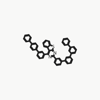 c1ccc(-c2ccc(-c3cccc(-c4nc(-c5cccc(-c6cccc(-c7cccc(-c8ccccc8)c7)c6)c5)nc5sc6ccccc6c45)c3)cc2)cc1